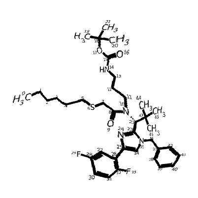 CCCCCCSCC(=O)N(CCCNC(=O)OC(C)(C)C)[C@@H](c1nc(-c2cc(F)ccc2F)cn1Cc1ccccc1)C(C)(C)C